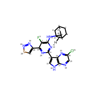 Fc1c(N[C@@H]2CC3CCC2CC3)nc(-c2c[nH]c3ncc(Cl)nc23)nc1-c1csnn1